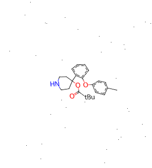 Cc1ccc(Oc2ccccc2C2(OC(=O)C(C)(C)C)CCNCC2)cc1